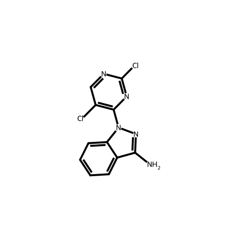 Nc1nn(-c2nc(Cl)ncc2Cl)c2ccccc12